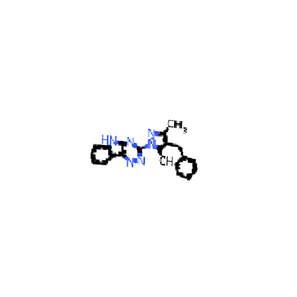 Cc1nn(-c2nnc3c(n2)[nH]c2ccccc23)c(C)c1Cc1ccccc1